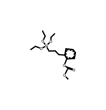 CCO[Si](CCCc1ccccc1OC(=O)OC)(OCC)OCC